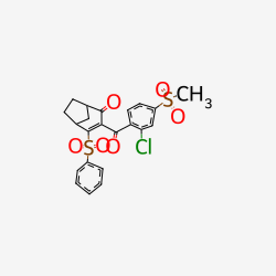 CS(=O)(=O)c1ccc(C(=O)C2=C(S(=O)(=O)c3ccccc3)C3CCC(C3)C2=O)c(Cl)c1